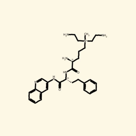 C[N+](CCN)(CCN)CCC[C@H](N)C(=O)N[C@H](CCc1ccccc1)C(=O)Nc1cnc2ccccc2c1